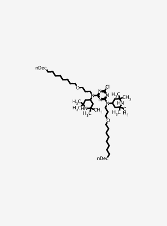 CCCCCCCCCCCCCCCCCCOCCCN(c1nc(Cl)nc(N(CCCOCCCCCCCCCCCCCCCCCC)C2CC(C)(C)NC(C)(C)C2)n1)C1CC(C)(C)NC(C)(C)C1